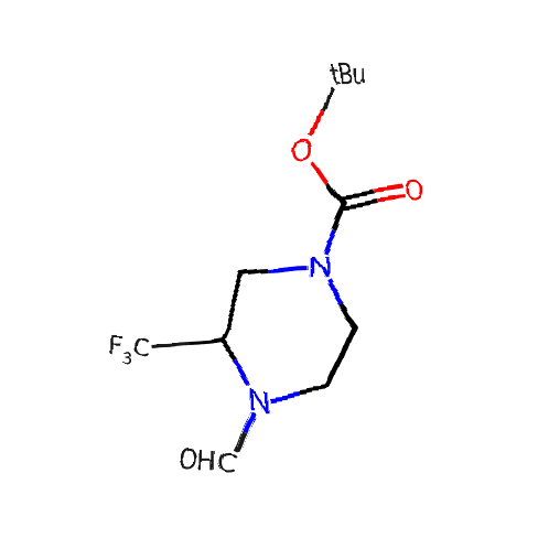 CC(C)(C)OC(=O)N1CCN(C=O)C(C(F)(F)F)C1